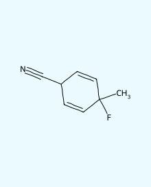 CC1(F)C=CC(C#N)C=C1